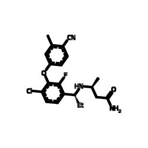 CC[C@@H](N[C@@H](C)CC(N)=O)c1ccc(Cl)c(Oc2ccc(C#N)c(C)c2)c1F